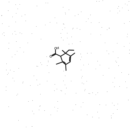 CCC1(C)C(C)=CC(C)=C(C)C1C(=O)O